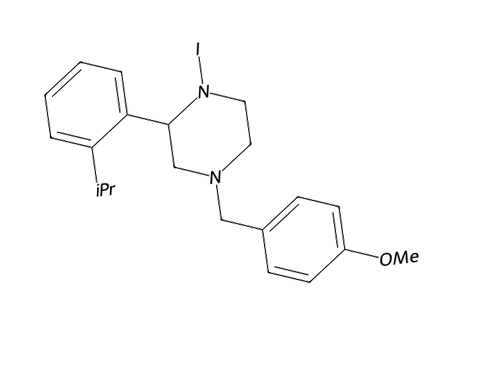 COc1ccc(CN2CCN(I)C(c3ccccc3C(C)C)C2)cc1